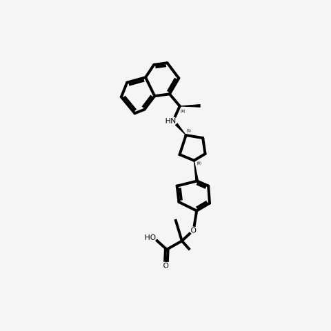 C[C@@H](N[C@H]1CC[C@@H](c2ccc(OC(C)(C)C(=O)O)cc2)C1)c1cccc2ccccc12